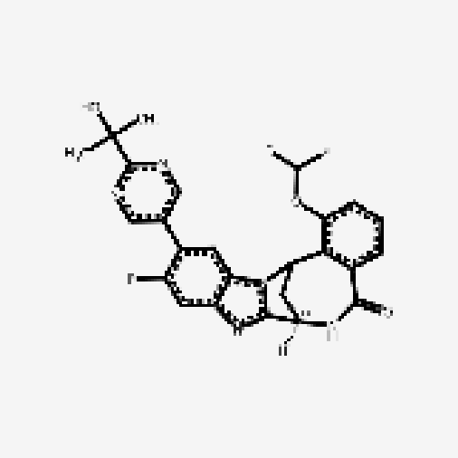 CC(C)(O)c1ncc(-c2cc3c(cc2F)nc2n3C3C[C@H]2NC(=O)c2cccc(OC(F)F)c23)cn1